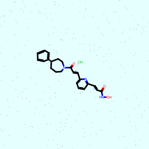 Cl.O=C(/C=C/c1cccc(/C=C/C(=O)N2CCCC(c3ccccc3)CC2)n1)NO